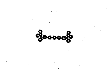 c1ccc(N(c2ccc(-c3ccc(-c4ccc(-c5ccc(-c6ccc(N(c7ccccc7)c7cc8ccccc8c8ccccc78)cc6)cc5)cc4)cc3)cc2)c2cc3ccccc3c3ccccc23)cc1